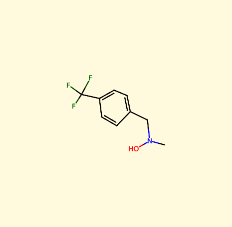 CN(O)Cc1ccc(C(F)(F)F)cc1